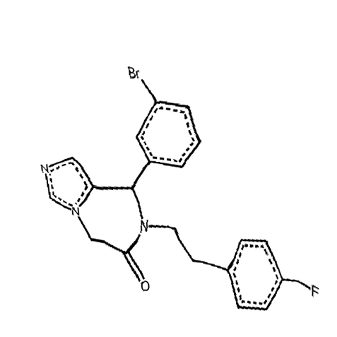 O=C1Cn2cncc2C(c2cccc(Br)c2)N1CCc1ccc(F)cc1